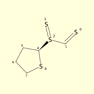 S=CS(=S)[C@@H]1CCCS1